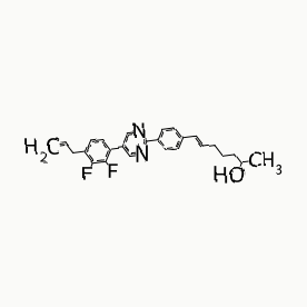 C=CCc1ccc(-c2cnc(-c3ccc(C=CCCCC(C)O)cc3)nc2)c(F)c1F